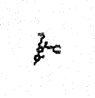 CCCCCn1nc(-c2ccc(F)cc2F)cc1C(=O)NCC(C)CO